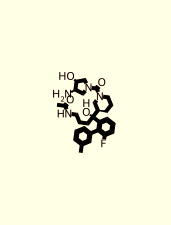 CC(=O)NCCC[C@@](O)(c1cccc(F)c1-c1cccc(C)c1)[C@@H]1CCCN(C(=O)N2C[C@@H](N)[C@@H](O)C2)C1